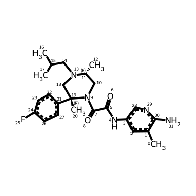 Cc1cc(NC(=O)C(=O)N2C[C@@H](C)N(CC(C)C)C[C@@]2(C)c2ccc(F)cc2)cnc1N